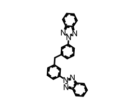 c1cc(Cc2cccc(-n3nc4ccccc4n3)c2)cc(-n2nc3ccccc3n2)c1